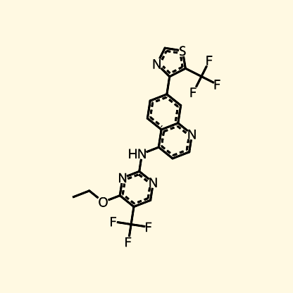 CCOc1nc(Nc2ccnc3cc(-c4ncsc4C(F)(F)F)ccc23)ncc1C(F)(F)F